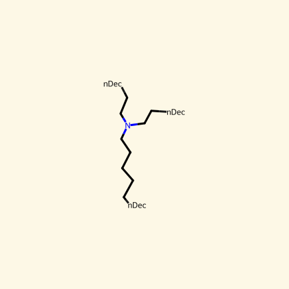 CCCCCCCCCCCCCCCN(CCCCCCCCCCCC)CCCCCCCCCCCC